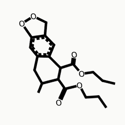 CCCOC(=O)C1c2cc3c(cc2CC(C)C1C(=O)OCCC)OOC3